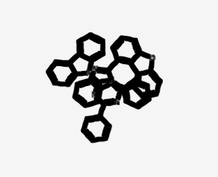 c1ccc(-c2nc(-c3cccc4oc5cccc(-c6nc7ccccc7n6-c6ccccc6)c5c34)nc(-n3c4ccccc4c4ccccc43)n2)cc1